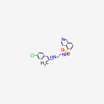 CC(=Cc1ccc(Cl)cc1)CNCCNS(=O)(=O)c1cccc2cnccc12